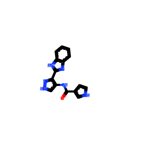 O=C(Nc1c[nH]nc1-c1nc2ccccc2[nH]1)c1cc[nH]c1